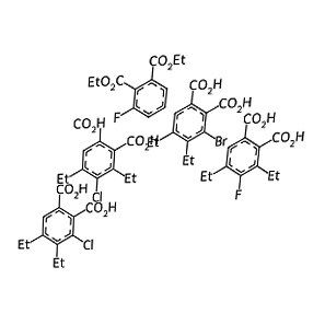 CCOC(=O)c1cccc(F)c1C(=O)OCC.CCc1cc(C(=O)O)c(C(=O)O)c(Br)c1CC.CCc1cc(C(=O)O)c(C(=O)O)c(CC)c1Cl.CCc1cc(C(=O)O)c(C(=O)O)c(CC)c1F.CCc1cc(C(=O)O)c(C(=O)O)c(Cl)c1CC